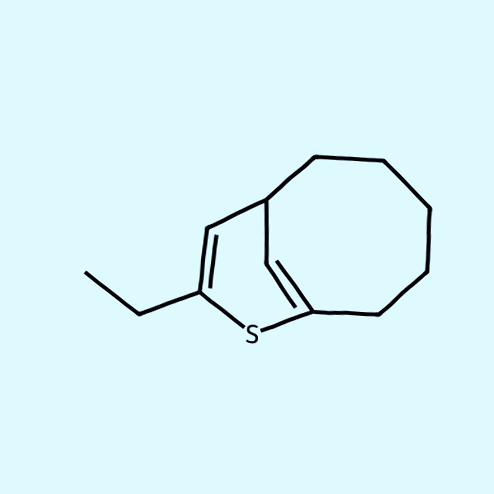 CCC1=CC2C=C(CCCCC2)S1